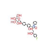 O=C1[C@H](CC[C@H](O)c2ccc(F)cc2)[C@@H](c2ccc(-c3ccc(/C=C/[C@@H]4O[C@H](CO)[C@@H](O)[C@H](O)[C@H]4O)cc3)cc2O)N1c1ccccc1